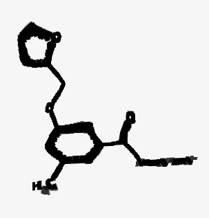 Cc1cc(OCc2ccco2)cc(C(=O)N=[N+]=[N-])c1